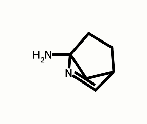 NC12CCC(C=N1)C2